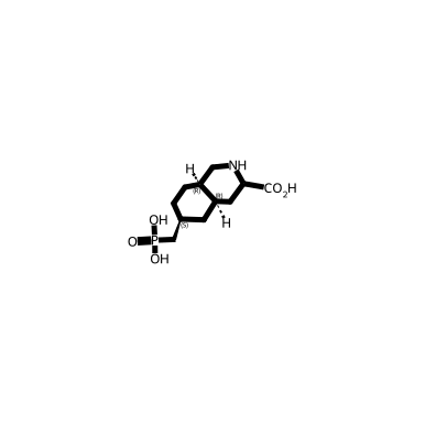 O=C(O)C1C[C@H]2C[C@@H](CP(=O)(O)O)CC[C@H]2CN1